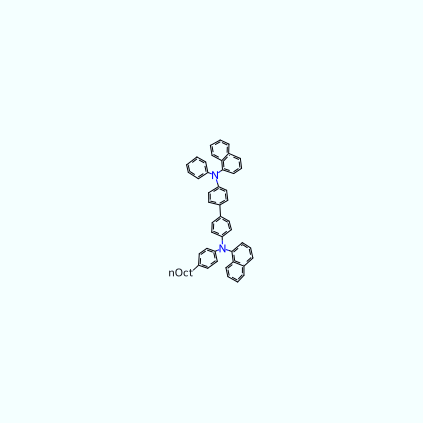 CCCCCCCCc1ccc(N(c2ccc(-c3ccc(N(c4ccccc4)c4cccc5ccccc45)cc3)cc2)c2cccc3ccccc23)cc1